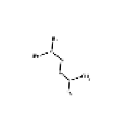 CCC(CCC(C)C#N)C(C)C